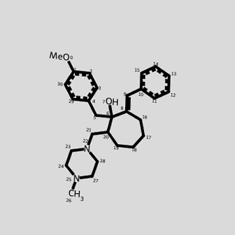 COc1ccc(CC2(O)C(=Cc3ccccc3)CCCCC2CN2CCN(C)CC2)cc1